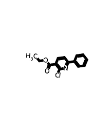 CCOC(=O)c1ccc(-c2ccccc2)nc1Cl